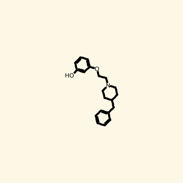 Oc1cccc(OCCN2CCC(Cc3ccccc3)CC2)c1